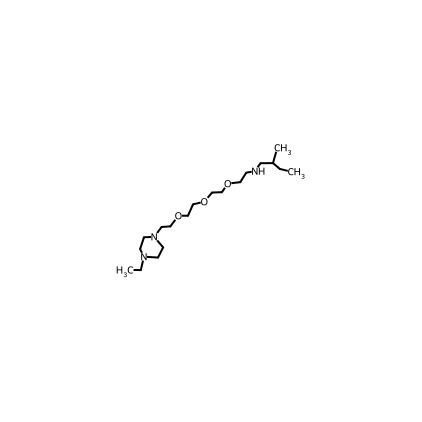 CCC(C)CNCCOCCOCCOCCN1CCN(CC)CC1